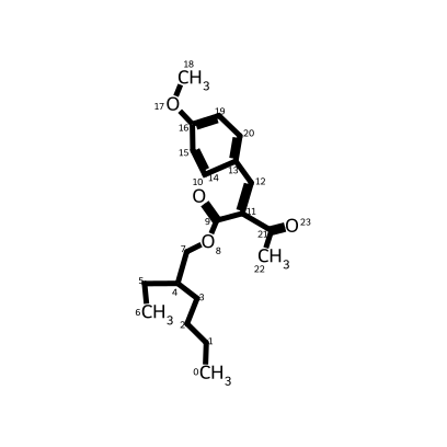 CCCCC(CC)COC(=O)C(=Cc1ccc(OC)cc1)C(C)=O